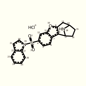 Cl.O=S(=O)(c1ccc2c3c(oc2c1)CC1CCC3N1)n1ccc2ccccc21